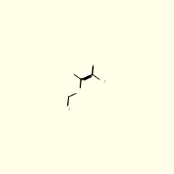 BCO/C(C)=C(/C)N